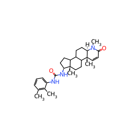 Cc1cccc(NC(=O)N[C@H]2CCC3C4CC[C@H]5N(C)C(=O)C=C[C@]5(C)C4CC[C@@]32C)c1C